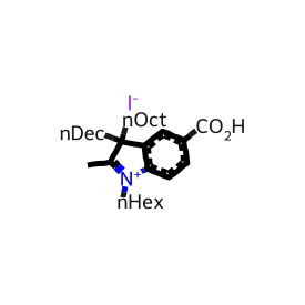 CCCCCCCCCCC1(CCCCCCCC)C(C)=[N+](CCCCCC)c2ccc(C(=O)O)cc21.[I-]